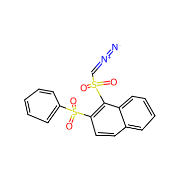 [N-]=[N+]=CS(=O)(=O)c1c(S(=O)(=O)c2ccccc2)ccc2ccccc12